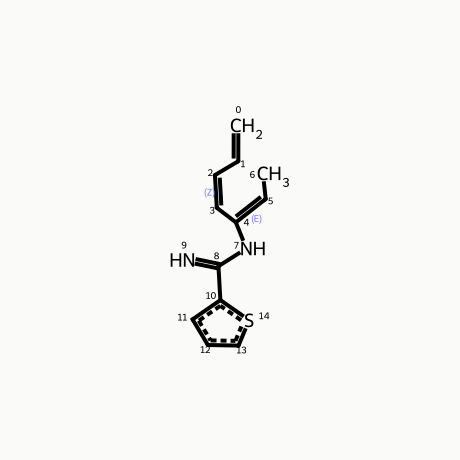 C=C/C=C\C(=C/C)NC(=N)c1cccs1